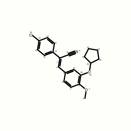 COc1ccc(/C=C(\C#N)c2ccc(Cl)cc2)cc1OC1CCCC1